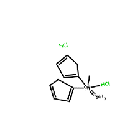 Cl.Cl.[CH3][Hf]([CH3])(=[SiH2])([C]1=CC=CC1)[C]1=CC=CC1